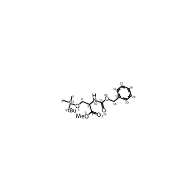 COC(=O)C(CO[Si](C)(C)C(C)(C)C)NC(=O)OCc1ccccc1